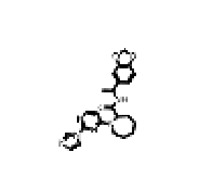 CC(NC(=O)C1CCCCCN1c1ccnc(-n2ccnc2)n1)c1ccc2c(c1)OCO2